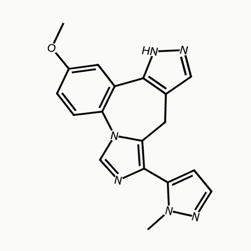 COc1ccc2c(c1)-c1[nH]ncc1Cc1c(-c3ccnn3C)ncn1-2